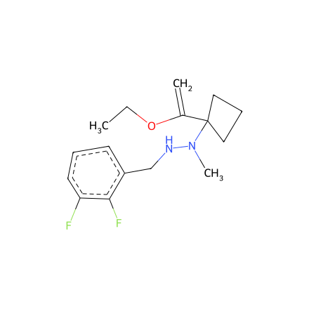 C=C(OCC)C1(N(C)NCc2cccc(F)c2F)CCC1